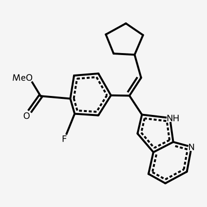 COC(=O)c1ccc(C(=CC2CCCC2)c2cc3cccnc3[nH]2)cc1F